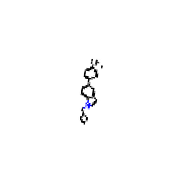 FC(F)(F)c1ccc(-c2ccc3c([c]cn3CC3CCC3)c2)cc1